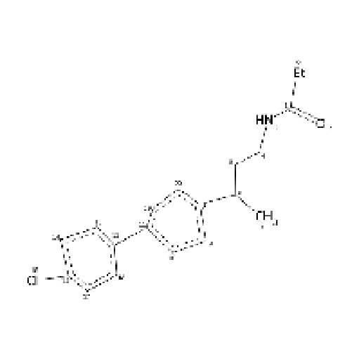 CCC(=O)NCCC(C)c1ccc(-c2ccc(Cl)cc2)cc1